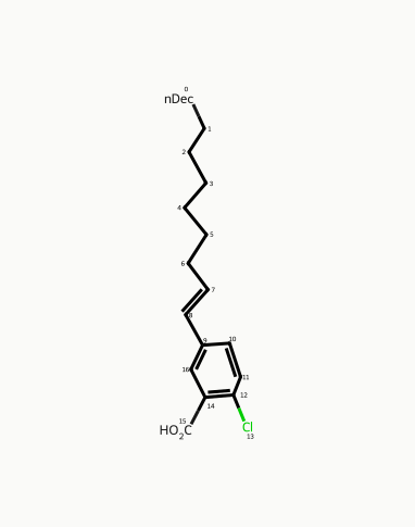 CCCCCCCCCCCCCCCC/C=C/c1ccc(Cl)c(C(=O)O)c1